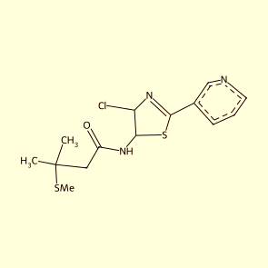 CSC(C)(C)CC(=O)NC1SC(c2cccnc2)=NC1Cl